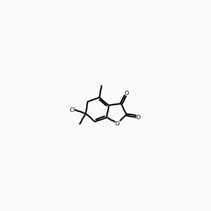 CC1=C2C(=O)C(=O)OC2=CC(C)(Cl)C1